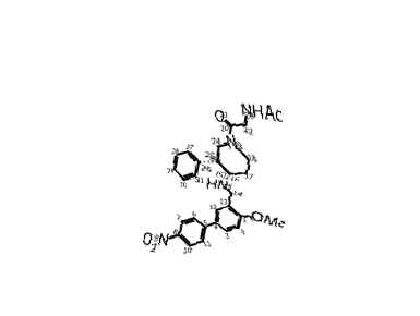 COc1ccc(-c2ccc([N+](=O)[O-])cc2)cc1CN[C@H]1CCN(C(=O)CNC(C)=O)C[C@H]1c1ccccc1